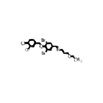 CCOCCCN=Cc1cc(Br)c(OCc2ccc(Cl)c(Cl)c2)c(Br)c1